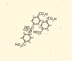 O=C(O)c1ccc(C(=O)O)cc1.O=C(O)c1ccc(C(=O)O)cc1.O=C(O)c1ccc(C(=O)O)cc1